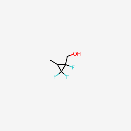 CC1C(F)(F)C1(F)CO